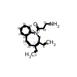 C=CC1=C(\C=C)CN(C(=O)CCN)c2ccccc2/C=C\1